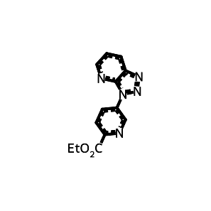 CCOC(=O)c1ccc(-n2nnc3cccnc32)cn1